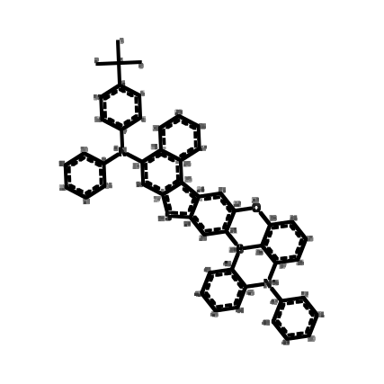 CC(C)(C)c1ccc(N(c2ccccc2)c2cc3sc4cc5c(cc4c3c3ccccc23)Oc2cccc3c2B5c2ccccc2N3c2ccccc2)cc1